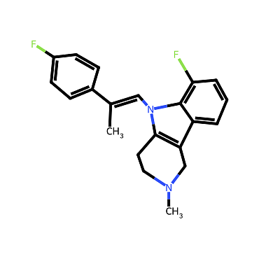 C/C(=C\n1c2c(c3cccc(F)c31)CN(C)CC2)c1ccc(F)cc1